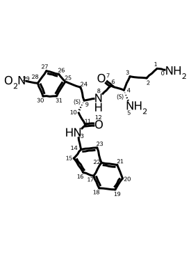 NCCC[C@H](N)C(=O)N[C@H](CC(=O)Nc1ccc2ccccc2c1)Cc1ccc([N+](=O)[O-])cc1